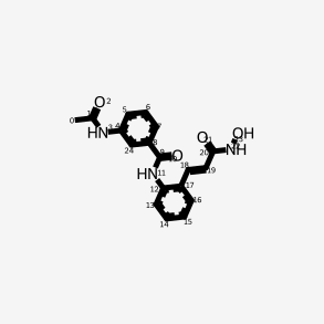 CC(=O)Nc1cccc(C(=O)Nc2ccccc2/C=C/C(=O)NO)c1